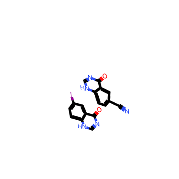 N#Cc1ccc2[nH]cnc(=O)c2c1.O=c1nc[nH]c2ccc(I)cc12